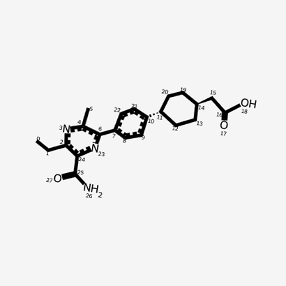 CCc1nc(C)c(-c2ccc([C@H]3CC[C@H](CC(=O)O)CC3)cc2)nc1C(N)=O